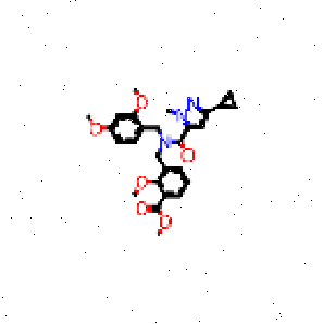 COC(=O)c1cccc(CN(Cc2ccc(OC)cc2OC)C(=O)c2cc(C3CC3)nn2C)c1OC